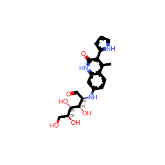 Cc1c(-c2ccc[nH]2)c(=O)[nH]c2cc(N[C@H](C=O)[C@H](O)[C@@H](O)[C@@H](O)CO)ccc12